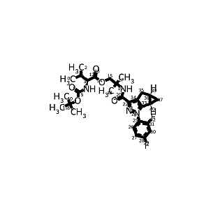 CC(C)[C@H](NC(=O)OC(C)(C)C)C(=O)OCC(C)(C)NC(=O)c1nn(-c2ccc(F)cc2F)c2c1C[C@H]1C[C@@H]21